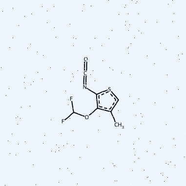 Cc1csc(N=C=O)c1OC(F)F